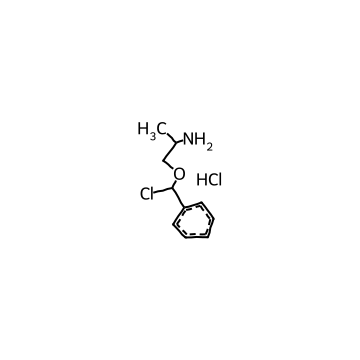 CC(N)COC(Cl)c1ccccc1.Cl